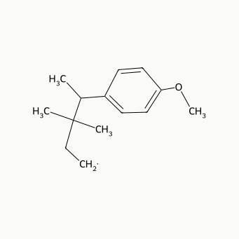 [CH2]CC(C)(C)C(C)c1ccc(OC)cc1